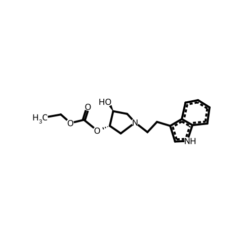 CCOC(=O)O[C@H]1CN(CCc2c[nH]c3ccccc23)C[C@@H]1O